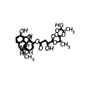 C[C@H](OC(=O)[C@H](C)OC(=O)[C@@H](O)CC(=O)OC1=CC[C@@]2(O)[C@H]3Cc4ccc(O)c5c4[C@@]2(CCN3C)[C@H]1O5)C(=O)O